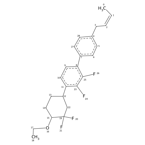 C/C=C\Cc1ccc(-c2ccc(C3CCC(OCC)C(F)(F)C3)c(F)c2F)cc1